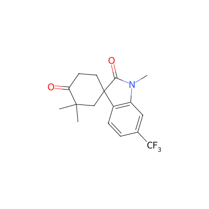 CN1C(=O)C2(CCC(=O)C(C)(C)C2)c2ccc(C(F)(F)F)cc21